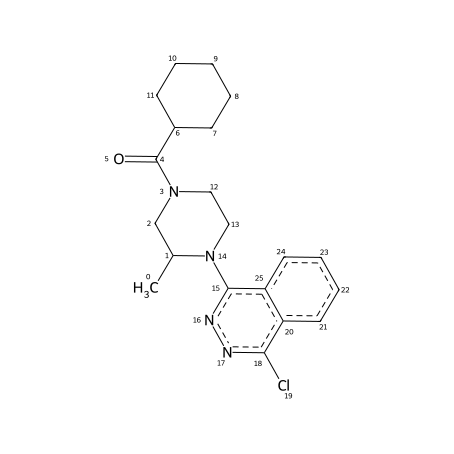 CC1CN(C(=O)C2CCCCC2)CCN1c1nnc(Cl)c2ccccc12